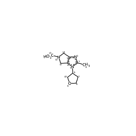 Cc1nc2c(n1C1CCOC1)CN(C(=O)O)C2